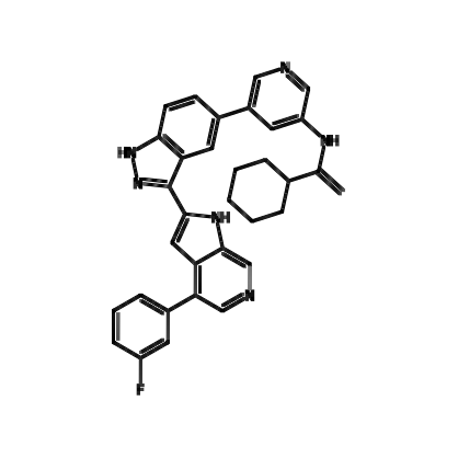 C=C(Nc1cncc(-c2ccc3[nH]nc(-c4cc5c(-c6cccc(F)c6)cncc5[nH]4)c3c2)c1)C1CCCCC1